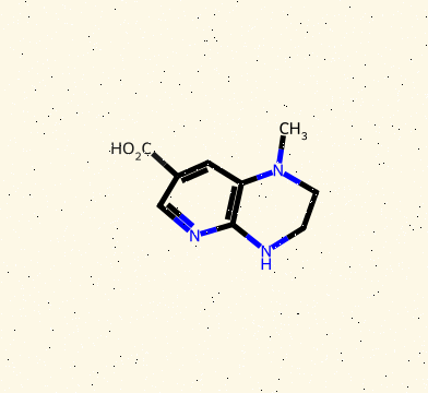 CN1CCNc2ncc(C(=O)O)cc21